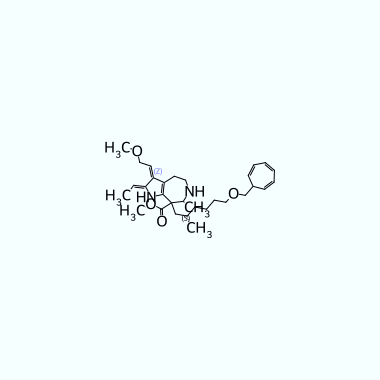 CC=c1[nH]c2c(/c1=C/COC)CCNC(C)C2(C[C@@H](C)CCCCOCC1C=CC=CC=C1)C(=O)OC